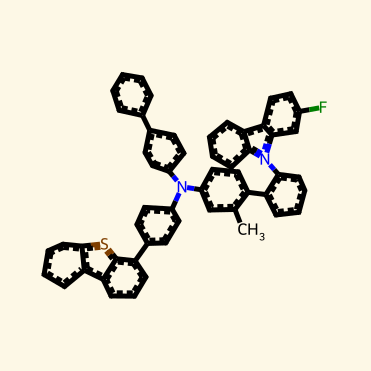 Cc1cc(N(c2ccc(-c3ccccc3)cc2)c2ccc(-c3cccc4c3sc3ccccc34)cc2)ccc1-c1ccccc1-n1c2ccccc2c2ccc(F)cc21